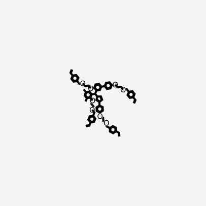 C=Cc1ccc(COCCOc2ccc(C3=CC(C(c4cc(-c5ccc(OCCOCc6ccc(C=C)cc6)cc5)ccc4OCCOCc4ccc(C=C)cc4)c4cc(C)cc(C)c4OCCOCc4ccc(C=C)cc4)C=C3)cc2)cc1